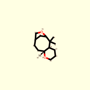 CC1(C)C2CC(CC[C@H]3OCCCC31)CO2